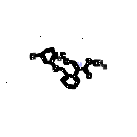 CO/C=C(/C(=O)OC)c1ccccc1COc1cccc(Cl)c1